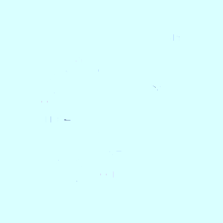 Cc1c(C)c2c(c(C)c1O)CC[C@@](C)(CCC[C@H](C)CCC[C@H](C)CCCC(C)C)O2.O=C1C=CC(=O)C=C1